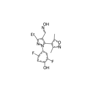 CCc1nn(-c2cc(F)c(O)cc2F)c(-c2c(C)noc2C)c1C=NO